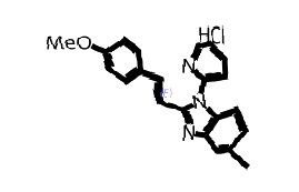 COc1ccc(/C=C/c2nc3cc(C)ccc3n2-c2ccccn2)cc1.Cl